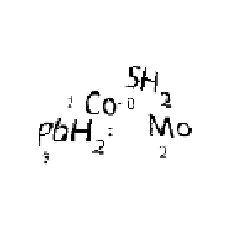 S.[Co].[Mo].[PbH2]